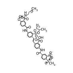 COCCNS(=O)(=O)c1cc(C(=O)Nc2ccc(/C=C/c3ccc(NC(=O)c4ccc(S(C)(=O)=O)c([N+](=O)[O-])c4)cc3S(=O)(=O)O)c(S(=O)(=O)OC(C)C)c2)ccc1OC